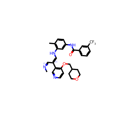 C/N=C\C(=C/Nc1cc(NC(=O)c2cccc(C(F)(F)F)c2)ccc1C)c1cnccc1OCC1CCOCC1